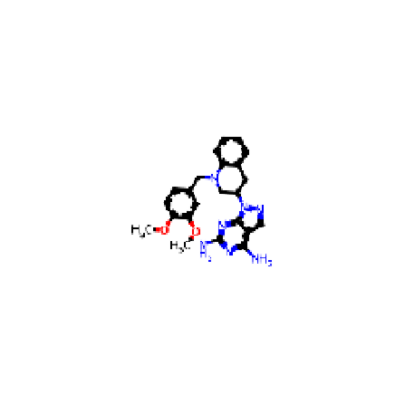 COc1ccc(CN2CC(n3ncc4c(N)nc(N)nc43)Cc3ccccc32)cc1OC